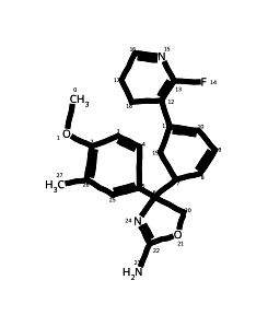 COc1ccc(C2(C3C=CC=C(C4=C(F)N=CCC4)C3)COC(N)=N2)cc1C